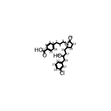 O=C(O)c1ccc(CCCN2C(=O)CCC2CCC(O)Cc2cccc(Cl)c2)cc1